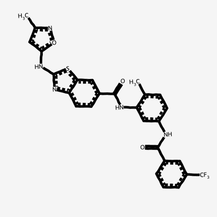 Cc1cc(Nc2nc3ccc(C(=O)Nc4cc(NC(=O)c5cccc(C(F)(F)F)c5)ccc4C)cc3s2)on1